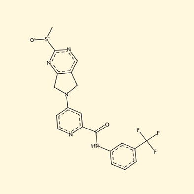 C[S+]([O-])c1ncc2c(n1)CN(c1ccnc(C(=O)Nc3cccc(C(F)(F)F)c3)c1)C2